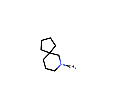 CN1CCCC2(CCCC2)C1